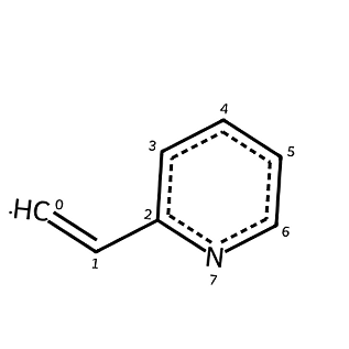 [CH]=Cc1ccccn1